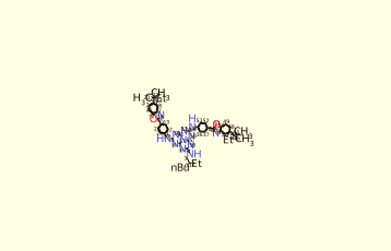 CCCCC(CC)CNC1=NC2=NC(Nc3ccc(-c4nc5cc(C(C)(C)CC)ccc5o4)cc3)=NC3=NC(Nc4ccc(-c5nc6cc(C(C)(C)CC)ccc6o5)cc4)=NC(=N1)N23